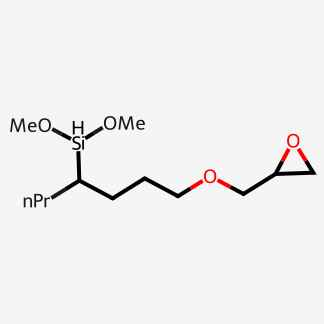 CCCC(CCCOCC1CO1)[SiH](OC)OC